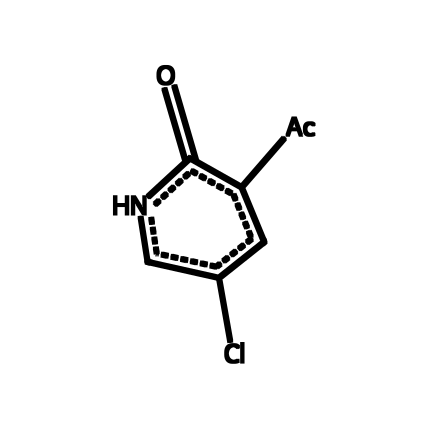 CC(=O)c1cc(Cl)c[nH]c1=O